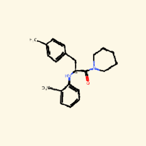 Cc1ccc(C[C@H](Nc2ccccc2[N+](=O)[O-])C(=O)N2CCCCC2)cc1